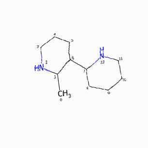 CC1NCCCC1C1CCCCN1